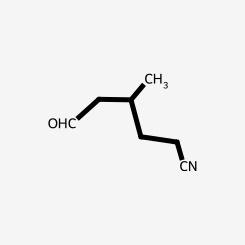 CC(CC=O)CCC#N